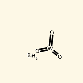 [BiH3].[O]=[W](=[O])=[O]